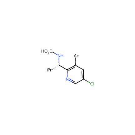 CC(=O)c1cc(Cl)cnc1[C@@H](NC(=O)O)C(C)C